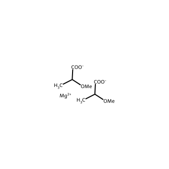 COC(C)C(=O)[O-].COC(C)C(=O)[O-].[Mg+2]